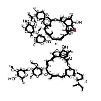 CCC(C)[C@H]1O[C@]2(CC[C@@H]1C)CC1C[C@@H](C/C=C(\C)[C@@H](O[C@H]3C[C@H](OC)[C@@H](OC4C[C@H](OC)[C@@H](O)[C@H](C)O4)[C@H](C)O3)[C@@H](C)/C=C/C=C3\CO[C@@H]4[C@H](O)C(C)=C[C@@H](C(=O)O1)[C@]34O)O2.CO[C@H]1CC(O[C@H]2[C@H](C)O[C@@H](O[C@@H]3/C(C)=C/C[C@@H]4CC(C[C@]5(CC[C@H](C)[C@@H](C(C)C)O5)O4)OC(=O)[C@@H]4C=C(C)[C@@H](O)[C@H]5OC/C(=C\C=C\[C@@H]3C)[C@]54O)C[C@@H]2OC)O[C@@H](C)[C@@H]1O